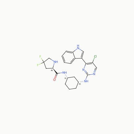 O=C(N[C@H]1CCC[C@@H](Nc2ncc(Cl)c(-c3c[nH]c4ccccc34)n2)C1)[C@H]1CC(F)(F)CN1